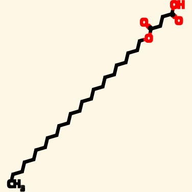 CCCCCCCCCCCCCCCCCCCCCCCCOC(=O)CCC(=O)O